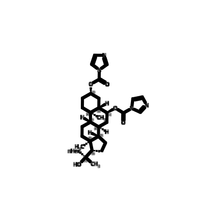 CCCCCC[C@](C)(O)[C@H]1CC[C@H]2[C@@H]3C[C@H](OC(=O)n4ccnc4)[C@H]4C[C@@H](OC(=O)n5ccnc5)CC[C@]4(C)[C@H]3CC[C@@]21C